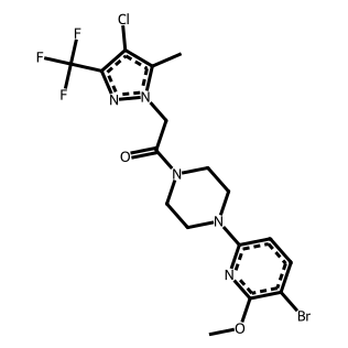 COc1nc(N2CCN(C(=O)Cn3nc(C(F)(F)F)c(Cl)c3C)CC2)ccc1Br